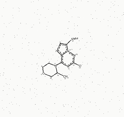 CSc1ccc2c(N3CCOCC3C)nc(Cl)nn12